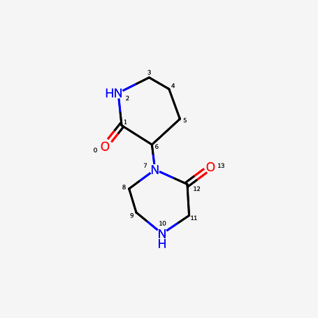 O=C1NCCCC1N1CCNCC1=O